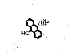 Oc1c2ccccc2c(O)c2ccccc12.[Na].[Na]